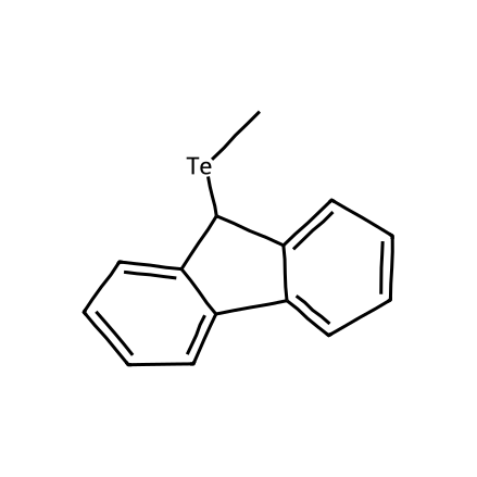 C[Te]C1c2ccccc2-c2ccccc21